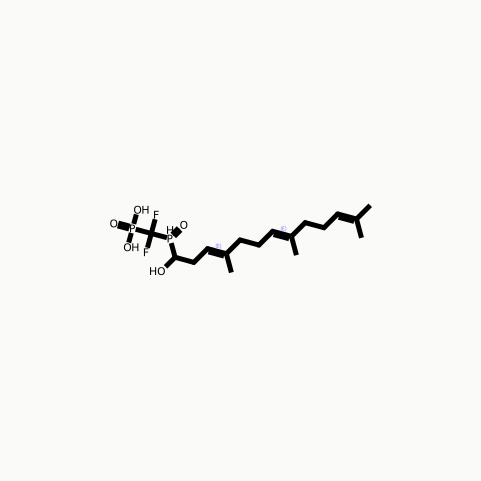 CC(C)=CCC/C(C)=C/CC/C(C)=C/CC(O)[PH](=O)C(F)(F)P(=O)(O)O